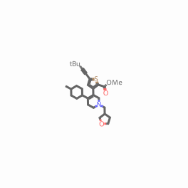 COC(=O)c1sc(C#CC(C)(C)C)cc1C1=C(C2CCC(C)CC2)CCN(CC2CCOC2)C1